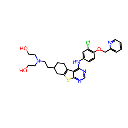 OCCN(CCO)CCC1CCc2c(sc3ncnc(Nc4ccc(OCc5ccccn5)c(Cl)c4)c23)C1